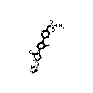 CS(=O)(=O)Cc1ccc(-c2ccc(N3C[C@H](Cn4ccnn4)OC3=O)cc2F)cn1